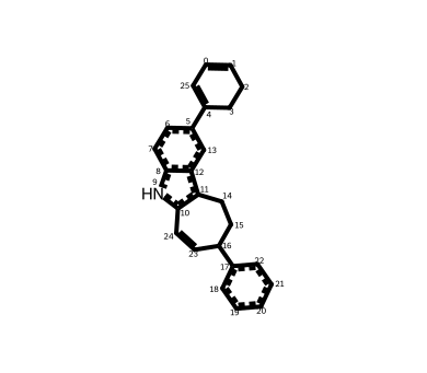 C1=CCCC(c2ccc3[nH]c4c(c3c2)CCC(c2ccccc2)C=C4)=C1